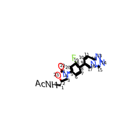 CC(=O)NC[C@H]1CN(c2ccc(-c3ccc4nncn4c3)c(F)c2)C(=O)O1